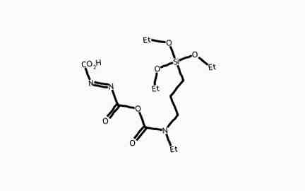 CCO[Si](CCCN(CC)C(=O)OC(=O)N=NC(=O)O)(OCC)OCC